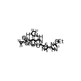 CCOc1cncc(-c2cnc(C(=O)N[C@@H](CN3CCCC3)c3cc(NS(=O)(=O)C4CC4)ncn3)s2)n1